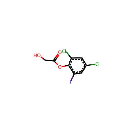 O=C(CO)Oc1c(Cl)cc(Cl)cc1I